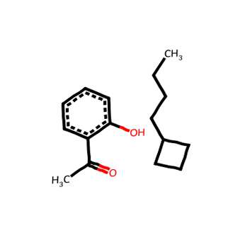 CC(=O)c1ccccc1O.CCCCC1CCC1